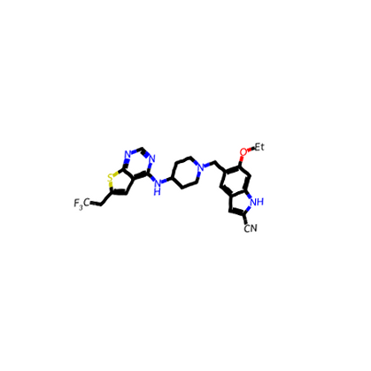 CCOc1cc2[nH]c(C#N)cc2cc1CN1CCC(Nc2ncnc3sc(CC(F)(F)F)cc23)CC1